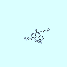 COc1ccc(C(=O)N(CC=CC=O)c2ccccc2)cc1OC